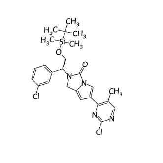 Cc1cnc(Cl)nc1-c1cc2n(c1)C(=O)N([C@H](CO[Si](C)(C)C(C)(C)C)c1cccc(Cl)c1)C2